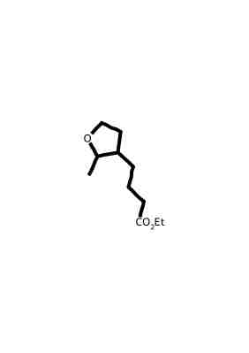 CCOC(=O)CCCC1CCOC1C